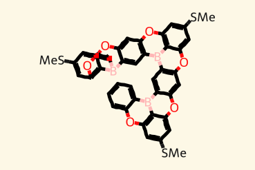 CSc1cc2c3c(c1)Oc1cc4c(cc1B3c1ccccc1O2)B1c2cc3c(cc2Oc2cc(SC)cc(c21)O4)Oc1cc(SC)cc2c1B3c1ccccc1O2